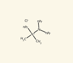 CCCN(CCC)[N+](C)(C)CCC.[Cl-]